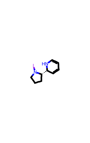 IN1CCC[C@H]1C1C=CC=CN1